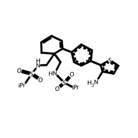 CC(C)S(=O)(=O)NCC1(CNS(=O)(=O)C(C)C)CC=CC=C1c1ccc(-c2sccc2N)cc1